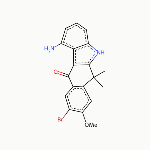 COc1cc2c(cc1Br)C(=O)c1c([nH]c3cccc(N)c13)C2(C)C